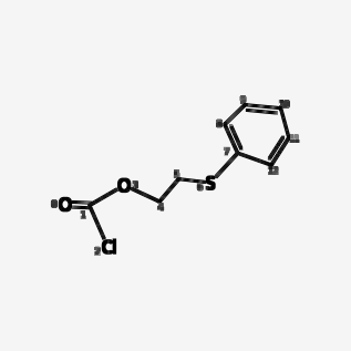 O=C(Cl)OCCSc1ccccc1